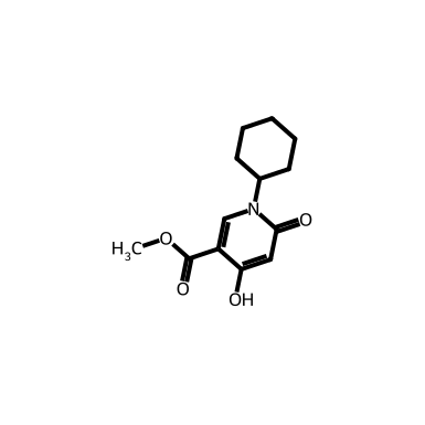 COC(=O)c1cn(C2CCCCC2)c(=O)cc1O